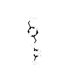 Nc1nnc(OCc2cnc(CO)cn2)s1